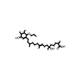 CCCOC1C(CCC(C)CCC/C(C)=C/CCC(C)(O)CCCC(C)C(=O)O)=CC(O)C(C)C1C